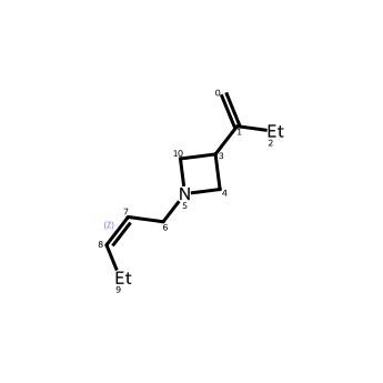 C=C(CC)C1CN(C/C=C\CC)C1